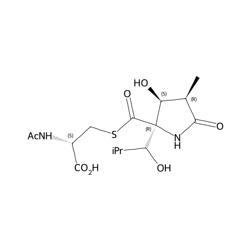 CC(=O)N[C@H](CSC(=O)[C@]1(C(O)C(C)C)NC(=O)[C@H](C)[C@@H]1O)C(=O)O